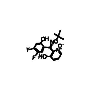 CC(C)(C)ON=C(c1cc(F)c(F)cc1O)c1c(O)ccc[n+]1[O-]